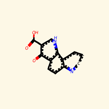 O=C(O)c1c[nH]c2c(ccc3ncccc32)c1=O